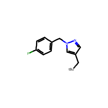 CC(C)(C)Cc1cnn(Cc2ccc(F)cc2)c1